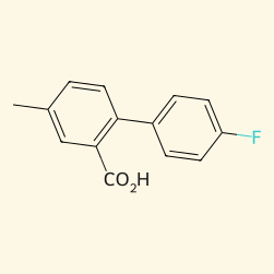 Cc1ccc(-c2ccc(F)cc2)c(C(=O)O)c1